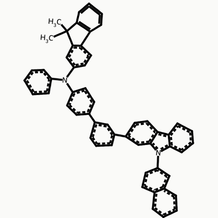 CC1(C)C2=C(C=C=C=C2)c2ccc(N(c3ccccc3)c3ccc(-c4cccc(-c5ccc6c7ccccc7n(-c7ccc8ccccc8c7)c6c5)c4)cc3)cc21